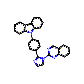 c1ccc2nc(-n3ccnc3-c3ccc(-n4c5ccccc5c5ccccc54)cc3)ncc2c1